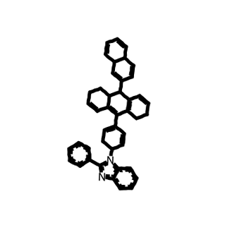 C1=CC2C=CC(C3C4=C(CCC=C4)C(C4=CCC(n5c(-c6ccccc6)nc6ccccc65)C=C4)=C4C=CCCC43)=CC2C=C1